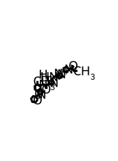 CCC(=O)N1CC[C@@H](n2ccc(Nc3ncc(C(=O)Nc4c(C)ccc5c4cnn5C4CCCCO4)s3)n2)C1